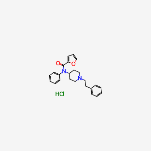 Cl.O=C(c1ccco1)N(c1ccccc1)C1CCN(CCc2ccccc2)CC1